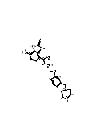 O=c1[nH]c2c(O)ccc(C(O)CNCCc3cccc(CN4CCNCC4)c3)c2s1